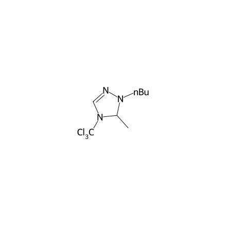 CCCCN1N=CN(C(Cl)(Cl)Cl)C1C